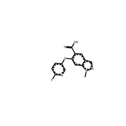 Cn1ncc2cc(C(=O)O)c(Oc3ccc(F)nc3)cc21